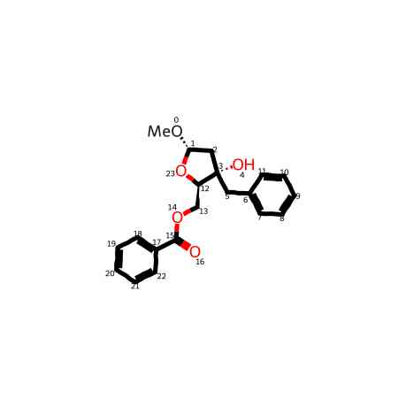 CO[C@@H]1C[C@@](O)(Cc2ccccc2)[C@@H](COC(=O)c2ccccc2)O1